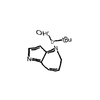 C1=CC2=NC=CC2=NC1.CC(C)(C)OC=O